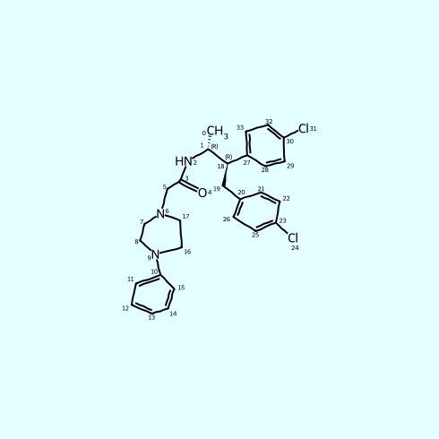 C[C@@H](NC(=O)CN1CCN(c2ccccc2)CC1)[C@H](Cc1ccc(Cl)cc1)c1ccc(Cl)cc1